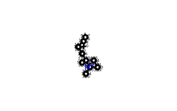 CC1(C)c2cc3ccccc3cc2-c2cccc(-c3ccc(-c4ccc(-c5nc(-c6ccccc6)cc(-c6ccccc6-c6ccccc6)n5)c5ccccc45)cc3)c21